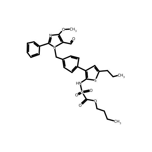 CCCCOC(=O)S(=O)(=O)Nc1sc(CCC)cc1-c1ccc(Cn2c(-c3ccccc3)nc(OC)c2C=O)cc1